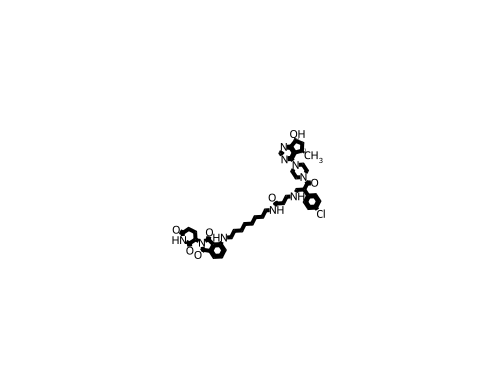 C[C@@H]1C[C@@H](O)c2ncnc(N3CCN(C(=O)C(CNCCC(=O)NCCCCCCCCNc4cccc5c4C(=O)N(C4CCC(=O)NC4=O)C5=O)c4ccc(Cl)cc4)CC3)c21